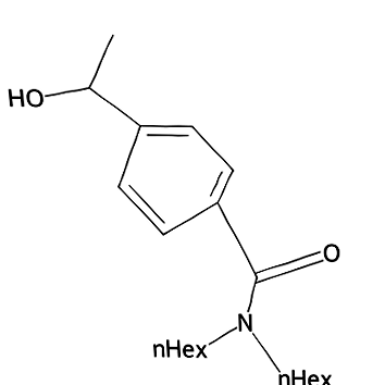 CCCCCCN(CCCCCC)C(=O)c1ccc(C(C)O)cc1